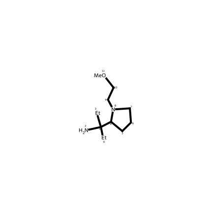 CCC(N)(CC)C1CCCN1CCOC